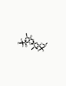 COOS(=O)(=NS(=O)(=NS(=O)(=NS(=O)(=O)C(F)(F)F)N(C)C)N(C)C)C(F)(F)F